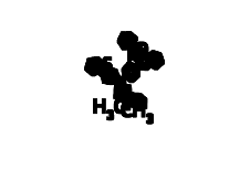 CC1(C)c2ccccc2-c2cc(N(c3ccc(-c4cc5ccccc5c5oc(-c6ccccc6)nc45)cc3)c3ccc4c(c3)sc3ccccc34)ccc21